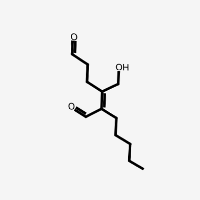 CCCCCC(C=O)=C(CO)CCC=O